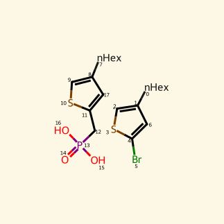 CCCCCCc1[c]sc(Br)c1.CCCCCCc1[c]sc(CP(=O)(O)O)c1